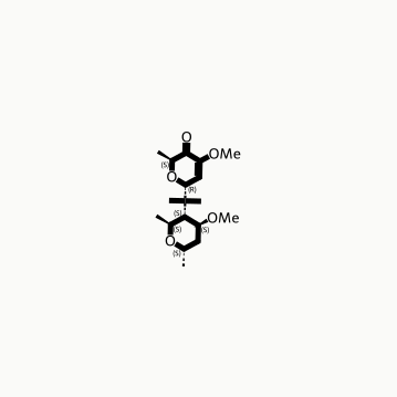 COC1=C[C@H](C(C)(C)[C@H]2[C@H](C)O[C@@H](C)C[C@@H]2OC)O[C@@H](C)C1=O